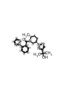 C[C@@H]1CC[C@@H](n2ncc(C(C)(C)O)n2)CN1C(=O)c1ccccc1-n1nccn1